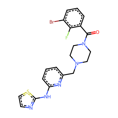 O=C(c1cccc(Br)c1F)N1CCN(Cc2cccc(Nc3nccs3)n2)CC1